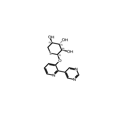 O[C@@H]1[C@@H](O)[C@@H](Oc2cccnc2-c2cncnc2)SC[C@H]1O